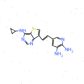 Nc1cc(/C=C/c2csc3c(NC4CC4)ncnc23)cnc1N